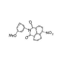 COc1cccc(N2C(=O)c3cccc4c([N+](=O)[O-])ccc(c34)C2=O)c1